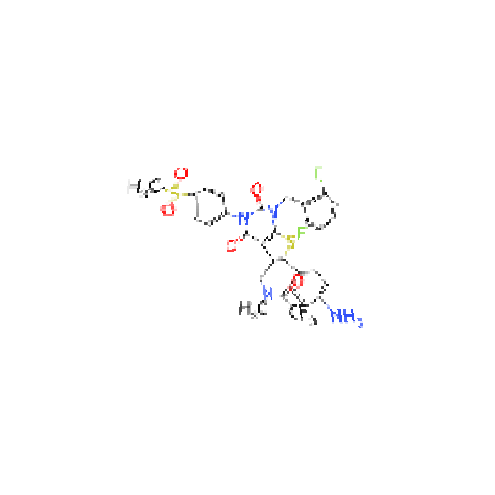 CN(Cc1c(-c2ccc(N)cc2)sc2c1c(=O)n(-c1ccc(S(C)(=O)=O)cc1)c(=O)n2Cc1c(F)cccc1F)C(=O)C(F)(F)F